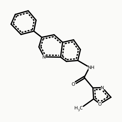 Cc1ocnc1C(=O)Nc1ccc2cc(-c3ccccc3)cnc2c1